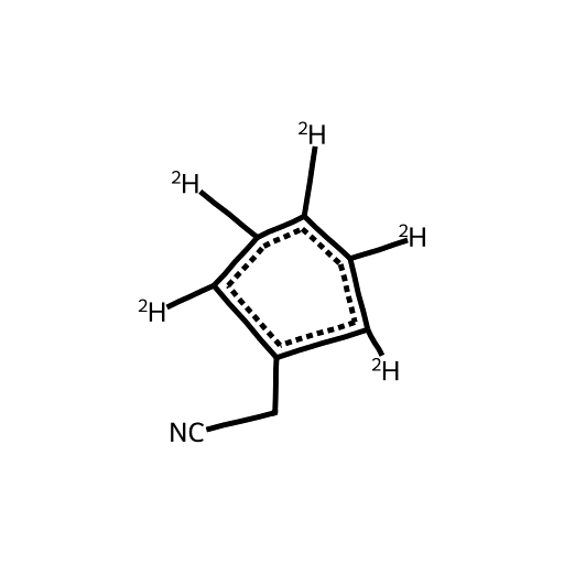 [2H]c1c([2H])c([2H])c(CC#N)c([2H])c1[2H]